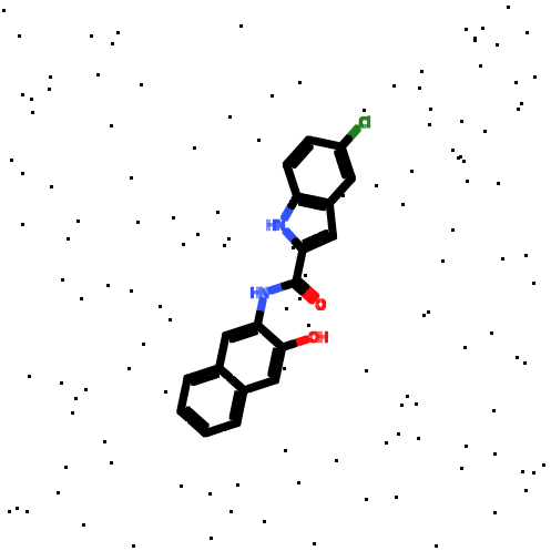 O=C(Nc1cc2ccccc2cc1O)c1cc2cc(Cl)ccc2[nH]1